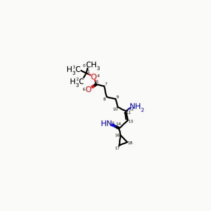 CC(C)(C)OC(=O)CCCC/C(N)=C\C(=N)C1CC1